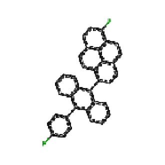 Fc1ccc(-c2c3ccccc3c(-c3ccc4ccc5c(F)ccc6ccc3c4c65)c3ccccc23)cc1